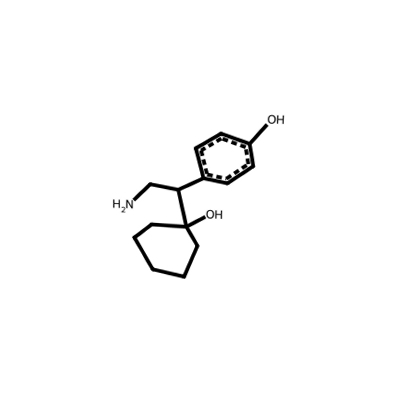 NCC(c1ccc(O)cc1)C1(O)CCCCC1